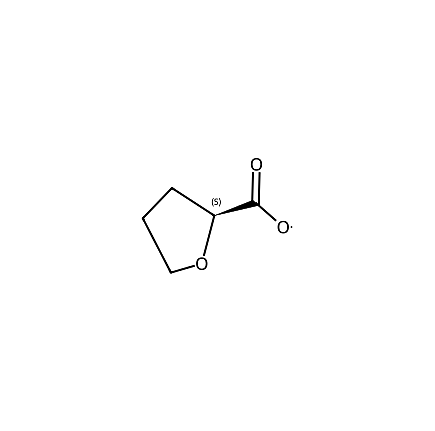 [O]C(=O)[C@@H]1CCCO1